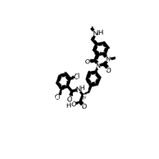 CNCc1ccc2c(c1)c(=O)n(-c1ccc(C[C@H](NC(=O)c3c(Cl)cccc3Cl)C(=O)O)cc1)c(=O)n2C